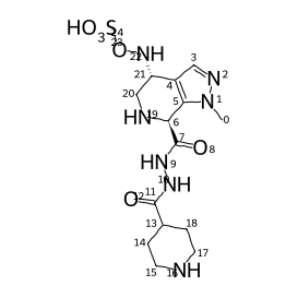 Cn1ncc2c1[C@@H](C(=O)NNC(=O)C1CCNCC1)NC[C@@H]2NOS(=O)(=O)O